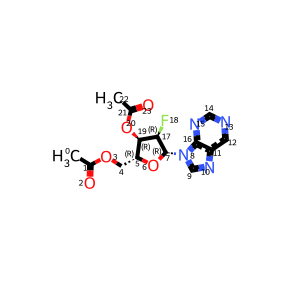 CC(=O)OC[C@H]1O[C@@H](n2cnc3cncnc32)[C@H](F)[C@@H]1OC(C)=O